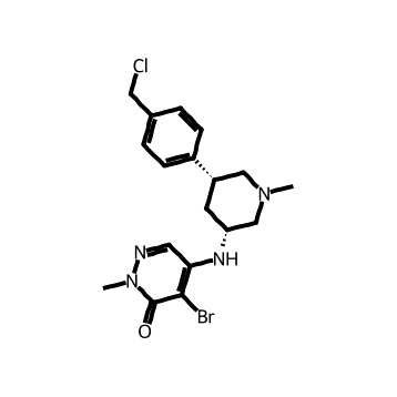 CN1C[C@H](Nc2cnn(C)c(=O)c2Br)C[C@H](c2ccc(CCl)cc2)C1